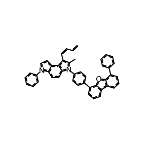 C=C/C=C\c1c(C)n(-c2ccc(-c3cccc4c3oc3c(-c5ccccc5)cccc34)cc2)c2ccc3c(ccn3-c3ccccc3)c12